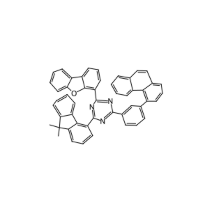 CC1(C)c2ccccc2-c2c(-c3nc(-c4cccc(-c5cccc6ccc7ccccc7c56)c4)nc(-c4cccc5c4oc4ccccc45)n3)cccc21